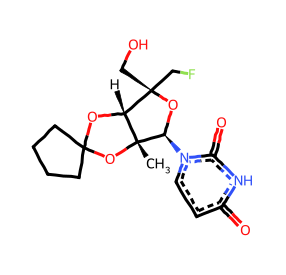 C[C@@]12OC3(CCCC3)O[C@@H]1[C@](CO)(CF)O[C@H]2n1ccc(=O)[nH]c1=O